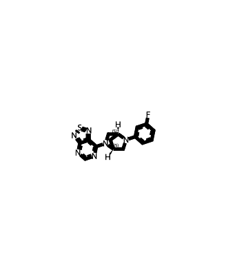 Fc1cccc(N2C[C@@H]3C[C@H]2CN3c2ncnc3nsnc23)c1